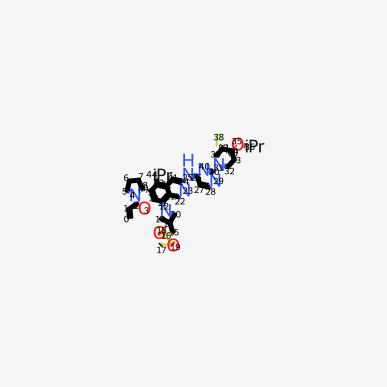 C=CC(=O)N1CCC[C@@H]1c1cc(N2CC(CS(C)(=O)=O)C2)c2cnc(Nc3ccnc(N4CC[C@@H](OC(C)C)[C@@H](F)C4)n3)cc2c1C(C)C